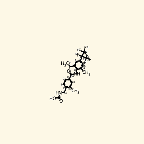 CCc1cc(C(F)(C(F)(F)F)C(F)(F)F)cc(C)c1NC(=O)c1ccc(CNC(=O)O)c(C)c1